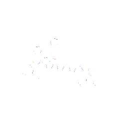 CCN1C(=O)/C(=N/C2=Cc3sc4c(sc5c6sc(/N=C7\SC(=C(C#N)C#N)N(CC)C7=O)cc6sc45)c3C2(C(=O)OCc2ccccc2)C(=O)OCc2ccccc2)SC1=C(C#N)C#N